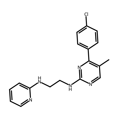 Cc1cnc(NCCNc2ccccn2)nc1-c1ccc(Cl)cc1